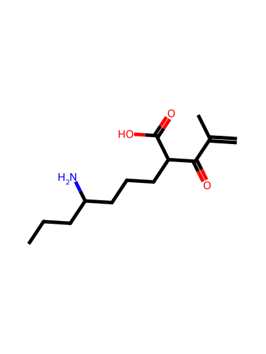 C=C(C)C(=O)C(CCCC(N)CCC)C(=O)O